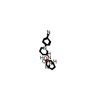 N#Cc1ccc(N2CCC[C@H](NC(=O)N3[C@@H]4CC[C@H]3C[C@@H](O)C4)C2)cc1